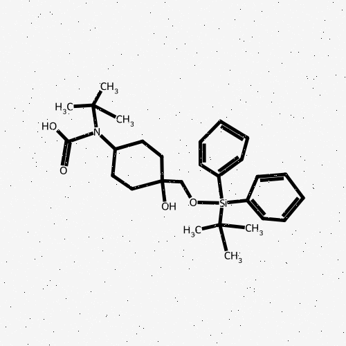 CC(C)(C)N(C(=O)O)C1CCC(O)(CO[Si](c2ccccc2)(c2ccccc2)C(C)(C)C)CC1